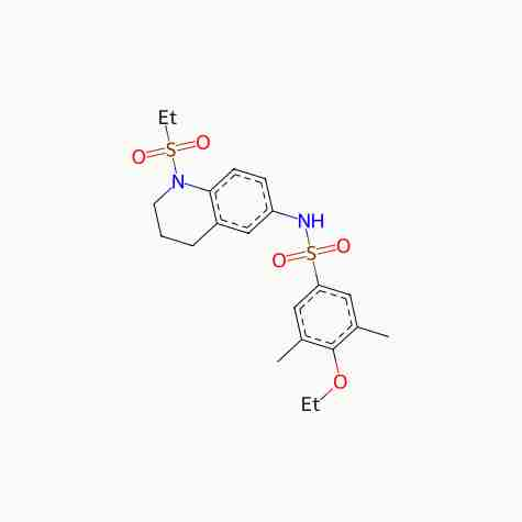 CCOc1c(C)cc(S(=O)(=O)Nc2ccc3c(c2)CCCN3S(=O)(=O)CC)cc1C